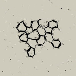 Cc1cc2c(c(-c3c(-c4ccccc4-c4ccccc4)nnnc3-c3[se]c4ccccc4c3-c3ccccc3)c1C)Cc1ccccc1-2